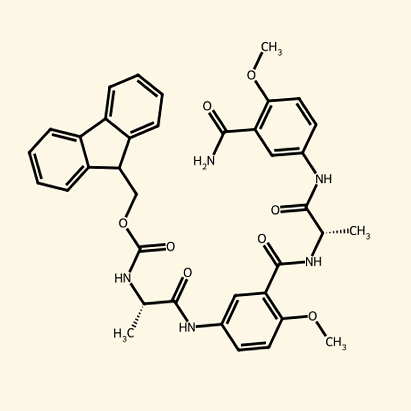 COc1ccc(NC(=O)[C@H](C)NC(=O)c2cc(NC(=O)[C@H](C)NC(=O)OCC3c4ccccc4-c4ccccc43)ccc2OC)cc1C(N)=O